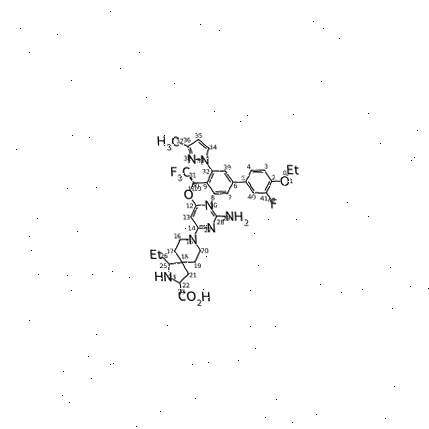 CCOc1ccc(-c2ccc([C@@H](Oc3cc(N4CCC5(CC4)CC(C(=O)O)NC5CC)nc(N)n3)C(F)(F)F)c(-n3ccc(C)n3)c2)cc1F